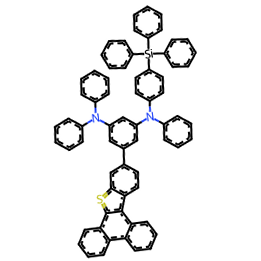 c1ccc(N(c2ccccc2)c2cc(-c3ccc4c(c3)sc3c5ccccc5c5ccccc5c43)cc(N(c3ccccc3)c3ccc([Si](c4ccccc4)(c4ccccc4)c4ccccc4)cc3)c2)cc1